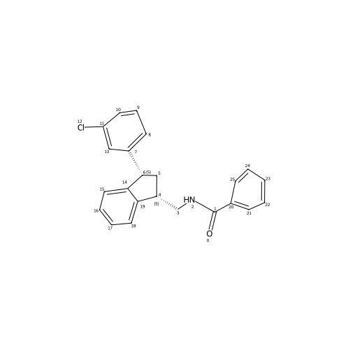 O=C(NC[C@H]1C[C@@H](c2cccc(Cl)c2)c2ccccc21)c1ccccc1